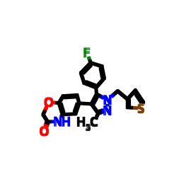 Cc1nn(Cc2ccsc2)c(-c2ccc(F)cc2)c1-c1ccc2c(c1)NC(=O)CO2